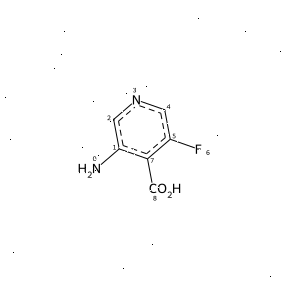 Nc1cncc(F)c1C(=O)O